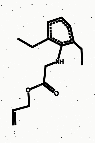 C=CCOC(=O)CNc1c(CC)cccc1CC